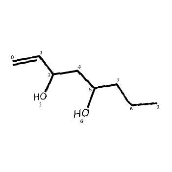 C=C[C](O)CC(O)CCC